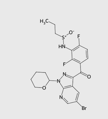 CCC[S+]([O-])Nc1c(F)ccc(C(=O)c2nn(C3CCCCO3)c3ncc(Br)cc23)c1F